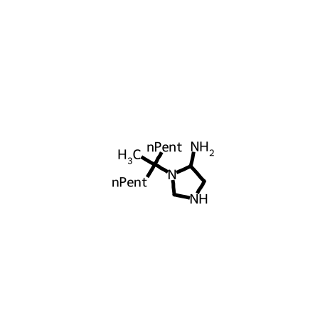 CCCCCC(C)(CCCCC)N1CNCC1N